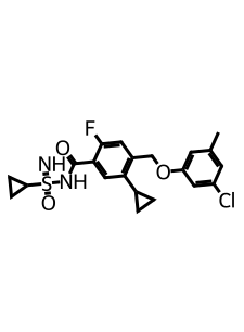 Cc1cc(Cl)cc(OCc2cc(F)c(C(=O)NS(=N)(=O)C3CC3)cc2C2CC2)c1